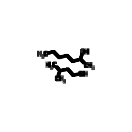 CC(C)CCO.CCCCCC(C)O